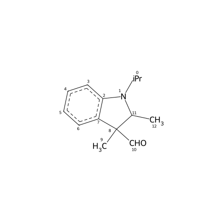 CC(C)N1c2ccccc2C(C)(C=O)C1C